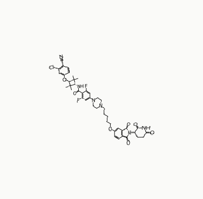 CC1(C)[C@H](NC(=O)c2c(F)cc(N3CCN(CCCCCOc4ccc5c(c4)C(=O)N(C4CCC(=O)NC4=O)C5=O)CC3)cc2F)C(C)(C)[C@H]1Oc1ccc(C#N)c(Cl)c1